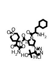 CC(C)(O)c1cnnn1[C@H]1C[C@@H](C(=O)NC2(C(=O)C(N)=O)CCS(=O)(=O)CC2)N(C(=O)C(N)CC2CCCCC2)C1.Cl